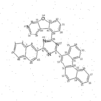 c1ccc2cc(-c3nc(-c4cc5ccc6ccccc6c5c5ccccc45)nc(-c4cccc5oc6cnccc6c45)n3)ccc2c1